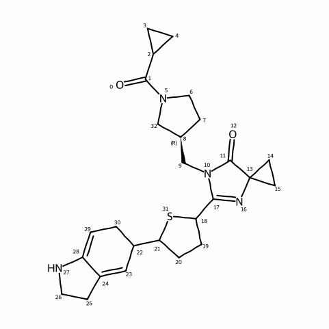 O=C(C1CC1)N1CC[C@@H](CN2C(=O)C3(CC3)N=C2C2CCC(C3C=C4CCNC4=CC3)S2)C1